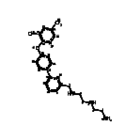 NCCNCCNCc1cccc(-c2ccc(Oc3ncc(C(F)(F)F)cc3Cl)cc2)n1